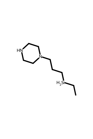 CC[SiH2]CCCN1CCNCC1